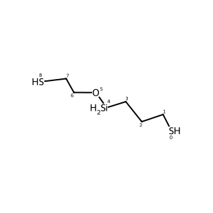 SCCC[SiH2]OCCS